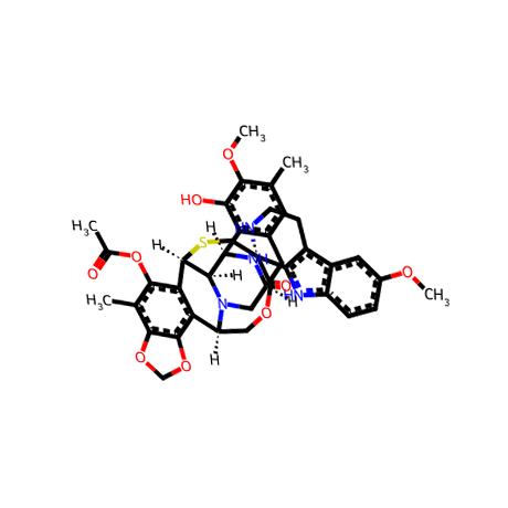 COc1ccc2[nH]c3c(c2c1)CCN[C@]31CS[C@@H]2c3c(OC(C)=O)c(C)c4c(c3[C@H](COC1=O)N1C[C@@H]3Cc5cc(C)c(OC)c(O)c5[C@@H](N3)[C@H]21)OCO4